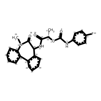 C[C@H](OC(=O)Nc1ccc(F)cc1)C(=O)NC1C(=O)N(C)c2ccccc2-c2ccccc21